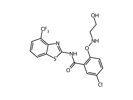 O=C(Nc1nc2c(C(F)(F)F)cccc2s1)c1cc(Cl)ccc1ONCCO